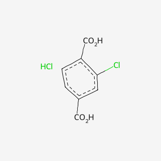 Cl.O=C(O)c1ccc(C(=O)O)c(Cl)c1